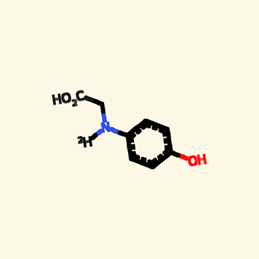 [2H]N(CC(=O)O)c1ccc(O)cc1